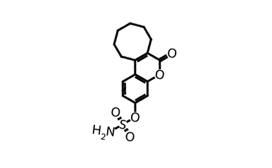 NS(=O)(=O)Oc1ccc2c3c(c(=O)oc2c1)CCCCCC3